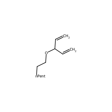 C=CC(C=C)OCCCCCCC